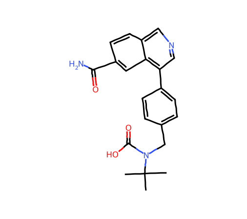 CC(C)(C)N(Cc1ccc(-c2cncc3ccc(C(N)=O)cc23)cc1)C(=O)O